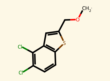 [CH2]OCc1cc2c(Cl)c(Cl)ccc2s1